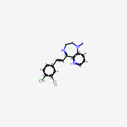 CN1CCN=C(/C=C/c2ccc(Cl)c(Cl)c2)c2ncccc21